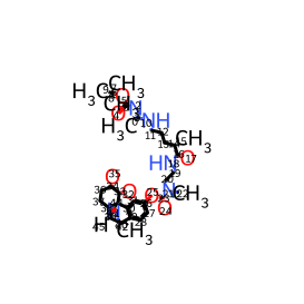 C/C(=N\C(=O)OC(C)(C)C)NCCC[C@H](C)C(=O)NCCN(C)C(=O)Oc1ccc2c3c1OC1C(=O)CCC4[C@@H](C2)N(C)C[C@]314